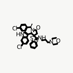 C[C@H](c1ccc(Cl)cc1)N1C(=O)CC(Sc2ccccc2)(C(=O)NCCCN2CCOCC2)C1c1c[nH]c2cc(Cl)ccc12